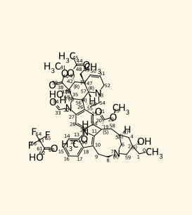 CC[C@]1(O)C[C@H]2C[N@](CCc3c([nH]c4ccccc34)[C@@](C(=O)OC)(c3cc4c(cc3OC)N(C=O)[C@H]3[C@@](O)(C(=O)OC)[C@H](OC(C)=O)[C@]5(CC)C=CCN6CC[C@]43[C@@H]65)C2)C1.O=C(O)C(F)(F)F